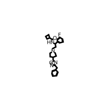 O=C(NC(CCN1CCC(c2nc(Cc3ccccc3)no2)CC1)c1cccc(F)c1)C1CCC1